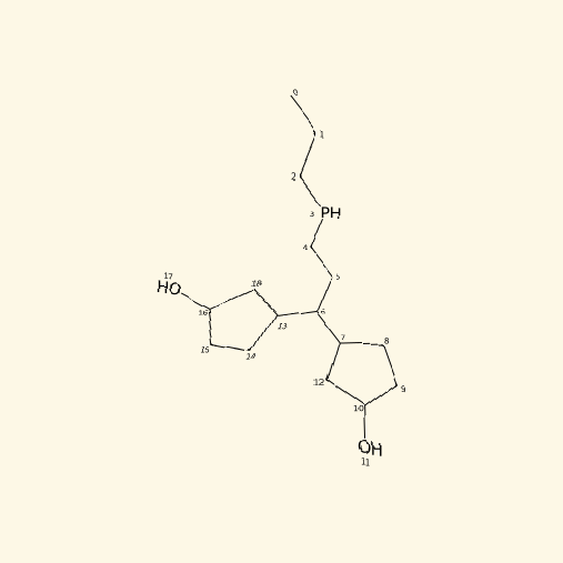 CCCPCCC(C1CCC(O)C1)C1CCC(O)C1